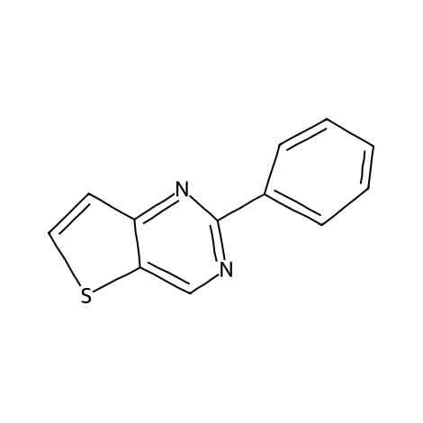 c1ccc(-c2ncc3sccc3n2)cc1